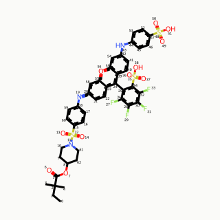 CCC(C)(C)C(=O)OC1CCN(S(=O)(=O)c2ccc(/N=c3\ccc4c(-c5c(F)c(F)c(F)c(F)c5S(=O)(=O)O)c5ccc(Nc6ccc(S(=O)(=O)O)cc6)cc5oc-4c3)cc2)CC1